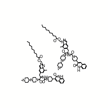 CCCCCCCCCC(=O)OCn1cc2cc(C[C@@H](NC(=O)N3CCC(c4cc5ccccc5[nH]c4=O)CC3)C(=O)N3CCN(C4CCN(C)CC4)CC3)cc(C)c2n1.CCCCCCCCCC(=O)OCn1ncc2cc(C[C@@H](NC(=O)N3CCC(c4cc5ccccc5[nH]c4=O)CC3)C(=O)N3CCN(C4CCN(C)CC4)CC3)cc(C)c21